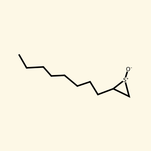 CCCCCCCCC1C[S+]1[O-]